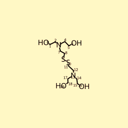 OCCN(CCO)CCSSCCN(CCO)CCO